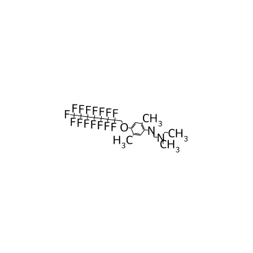 CCN(C)/C=N/c1cc(C)c(OCC(F)(F)C(F)(F)C(F)(F)C(F)(F)C(F)(F)C(F)(F)C(F)(F)F)cc1C